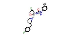 CC(=O)c1cccc(NC(=O)N[C@@H]2C[C@@H](F)CO[C@@H]2CN2CCCC(Cc3ccc(F)cc3)C2)c1